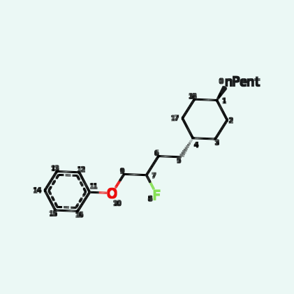 CCCCC[C@H]1CC[C@H](CCC(F)COc2ccccc2)CC1